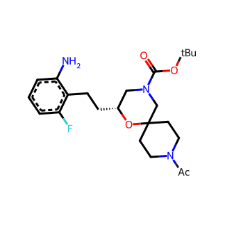 CC(=O)N1CCC2(CC1)CN(C(=O)OC(C)(C)C)C[C@@H](CCc1c(N)cccc1F)O2